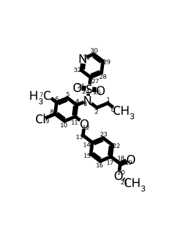 CCCN(c1cc(C)c(Cl)cc1OCc1ccc(C(=O)OC)cc1)S(=O)(=O)c1cccnc1